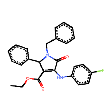 CCOC(=O)C1=C(Nc2ccc(F)cc2)C(=O)N(Cc2ccccc2)C1c1ccccc1